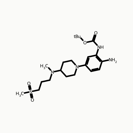 CN(CCCS(C)(=O)=O)C1CCN(c2ccc(N)c(NC(=O)OC(C)(C)C)c2)CC1